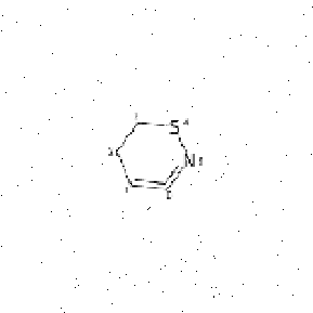 C1=CCCSN=1